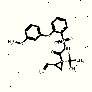 C=C[C@@H]1C[C@@]1(C(=O)NS(=O)(=O)c1ccccc1Oc1cccc(OC)c1)C(C)(C)C